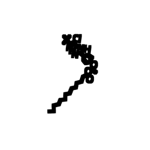 C=C(OC(=O)CCCCCCCCCCCCC)Oc1ccc(-c2nn3nc(C(C)(C)C)c(Cl)c3[nH]2)cc1